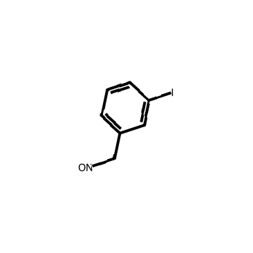 O=NCc1cccc(I)c1